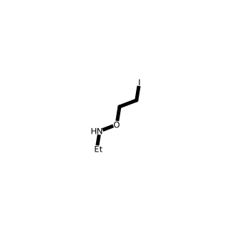 CCNOCCI